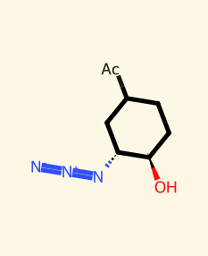 CC(=O)C1CC[C@@H](O)[C@H](N=[N+]=[N-])C1